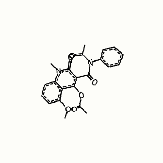 COc1cccc2c1c(OC(C)=O)c(C(=O)N(C(C)=O)c1ccccc1)c(=O)n2C